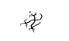 C=CC(C(F)(F)F)(C(F)(F)F)C(F)(F)F